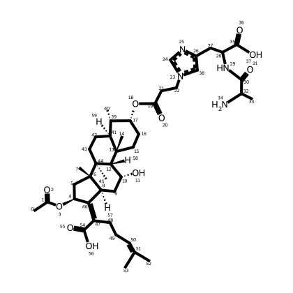 CC(=O)O[C@H]1C[C@@]2(C)[C@@H](C[C@@H](O)[C@H]3[C@@]4(C)CC[C@@H](OC(=O)CCn5cnc(CC(NC(=O)C(C)N)C(=O)O)c5)[C@@H](C)[C@@H]4CC[C@@]32C)/C1=C(\CCC=C(C)C)C(=O)O